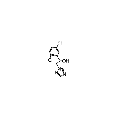 OC(Cn1cncn1)c1cc(Cl)ccc1Cl